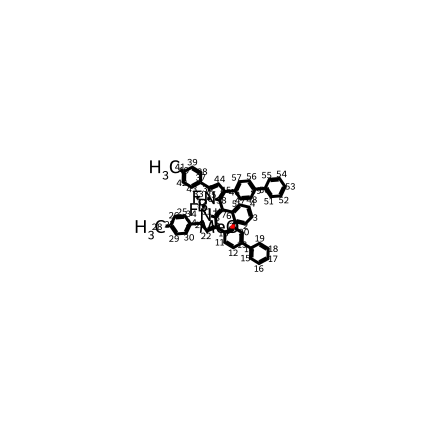 COc1ccccc1C1=C2C(c3ccc(-c4ccccc4)cc3)=CC(c3ccc(C)cc3)=[N+]2[B-](F)(F)n2c(-c3ccc(C)cc3)cc(-c3ccc(-c4ccccc4)cc3)c21